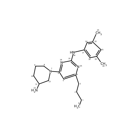 CCCCc1cc(N2CCCC(N)C2)nc(Nc2cc(C)cc(C)c2)n1